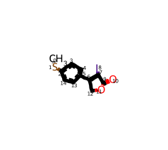 CSc1ccc(C2=C(I)C(=O)OC2)cc1